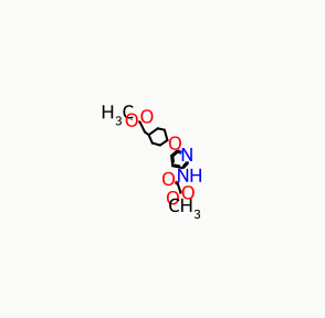 COC(=O)CC1CCC(Oc2ccc(NC(=O)C(=O)OC)cn2)CC1